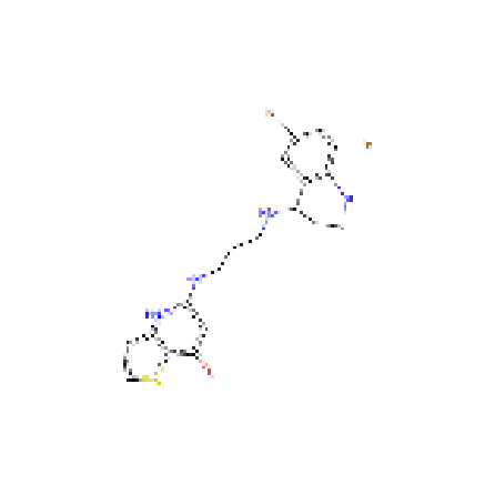 O=c1cc(NCCCNC2CCNc3c(Br)cc(Br)cc32)[nH]c2ccsc12